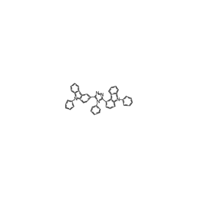 c1ccc(-n2c(-c3ccc4c(c3)c3ccccc3n4-c3ccccc3)nnc2-c2cccc3c2c2ccccc2n3-c2ccccc2)cc1